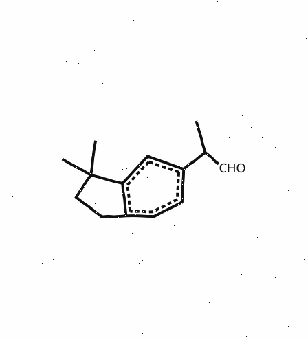 CC(C=O)c1ccc2c(c1)C(C)(C)CC2